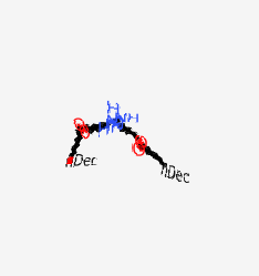 CCCCCCCCCCCCCCCCCC(=O)OCCCCCCNC(=N)NCCCCCCOC(=O)CCCCCCCCCCCCCCCCC